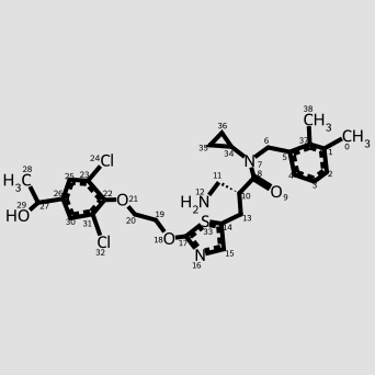 Cc1cccc(CN(C(=O)[C@@H](CN)Cc2cnc(OCCOc3c(Cl)cc(C(C)O)cc3Cl)s2)C2CC2)c1C